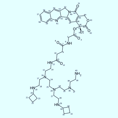 CC[C@]1(OC(=O)CNC(=O)CCC(=O)NCCN(CCNC2CCC2)CCN(CCNC2CCC2)CCN(C)CCN)C(=O)OCc2c1cc1n(c2=O)Cc2cc3ccccc3nc2-1